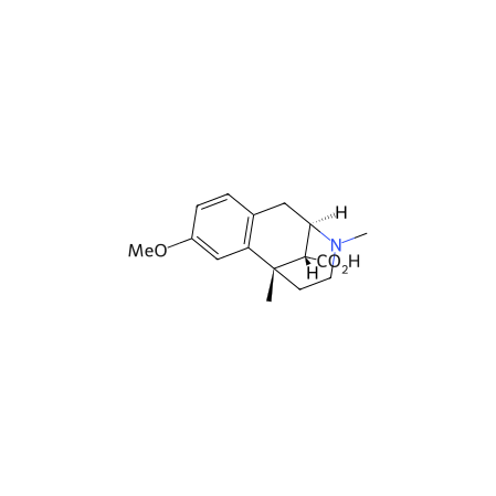 COc1ccc2c(c1)[C@@]1(C)CCN(C)[C@H](C2)[C@@H]1C(=O)O